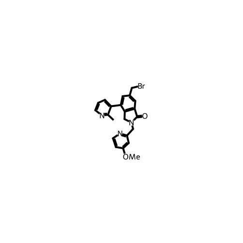 COc1ccnc(CN2Cc3c(cc(CBr)cc3-c3cccnc3C)C2=O)c1